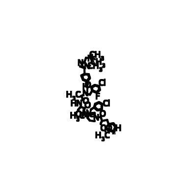 COCC(NC(=O)C(C)NCc1c(F)cc(Cl)cc1Oc1ccc(-c2cnc(CN(C)C)n2C)cc1)C(=O)N(C)[C@@]1(Cc2ccc(Cl)cc2)CCCN(C(=O)C(CC(=O)O)Cc2cccc(C)n2)C1